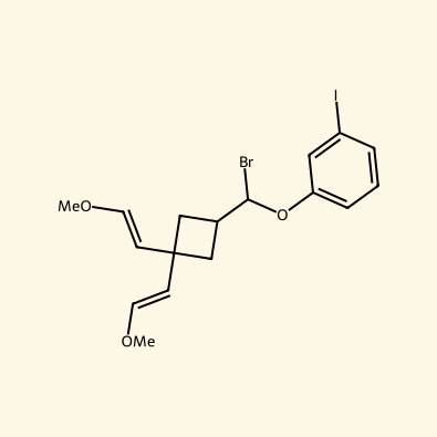 COC=CC1(C=COC)CC(C(Br)Oc2cccc(I)c2)C1